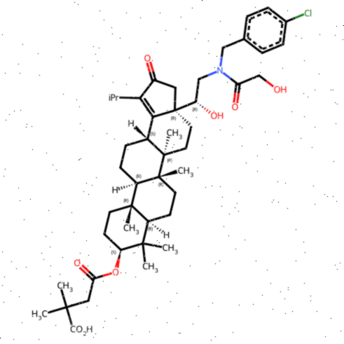 CC(C)C1=C2[C@H]3CC[C@@H]4[C@@]5(C)CC[C@H](OC(=O)CC(C)(C)C(=O)O)C(C)(C)[C@@H]5CC[C@@]4(C)[C@]3(C)CC[C@@]2([C@@H](O)CN(Cc2ccc(Cl)cc2)C(=O)CO)CC1=O